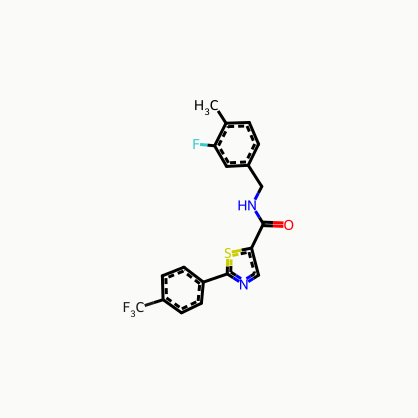 Cc1ccc(CNC(=O)c2cnc(-c3ccc(C(F)(F)F)cc3)s2)cc1F